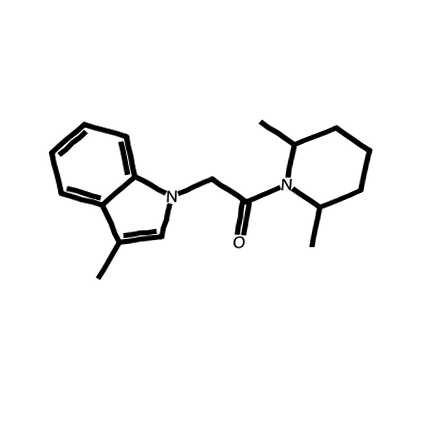 Cc1cn(CC(=O)N2C(C)CCCC2C)c2ccccc12